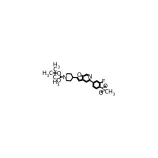 CC(C)(C)OC(=O)N1CCC(c2cc3cc(-c4ccc(S(C)(=O)=O)c(F)c4)ncc3o2)CC1